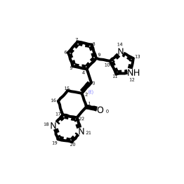 O=C1/C(=C/c2ccccc2-c2c[nH]cn2)CCc2nccnc21